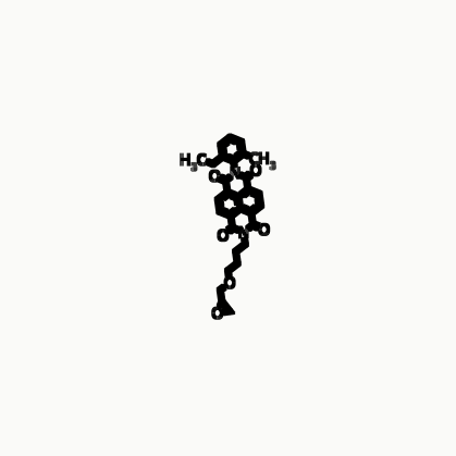 CCc1cccc(C)c1N1C(=O)c2ccc3c4c(ccc(c24)C1=O)C(=O)N(CCCCOCC1CO1)C3=O